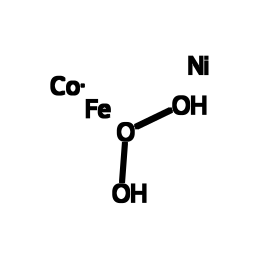 OOO.[Co].[Fe].[Ni]